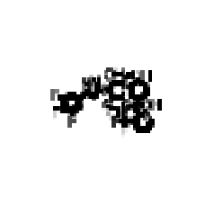 CO[C@@H]1[C@@H](n2cc(-c3cc(F)c(F)c(F)c3)nn2)[C@@H](O)[C@@H](CO)O[C@H]1SC(c1ncccc1C(F)(F)F)C1(O)CCCCC1